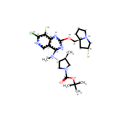 C[C@H]1CN(C(=O)OC(C)(C)C)C[C@@H]1N(C)c1nc(OC[C@@]23CCCN2C[C@H](F)C3)nc2c(F)c(Cl)ncc12